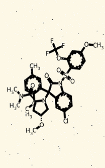 COc1ccc(S(=O)(=O)N2C(=O)C(c3cc(C)ccc3OC)(N3C[C@H](OC)C[C@H]3C(=O)N(C)C)c3cc(Cl)ccc32)c(OC(F)(F)F)c1